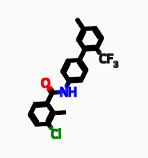 Cc1ccc(C(F)(F)F)c(-c2ccc(NC(=O)c3cccc(Cl)c3C)cc2)c1